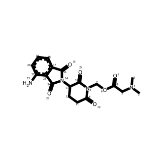 CN(C)CC(=O)OCN1C(=O)CCC(N2C(=O)c3cccc(N)c3C2=O)C1=O